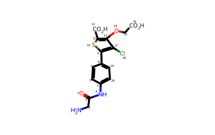 NCC(=O)Nc1ccc(-c2sc(C(=O)O)c(OCC(=O)O)c2Cl)cc1